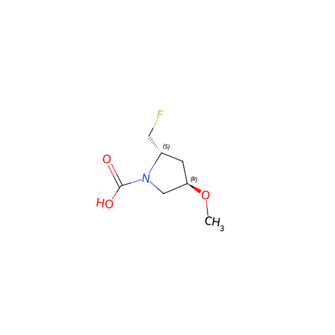 CO[C@@H]1C[C@@H](CF)N(C(=O)O)C1